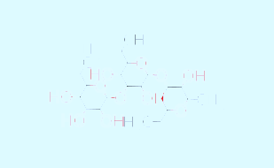 CCC1C[C@H](O[C@@H]2OC(CC)[C@@H](O)[C@H](O[C@@H]3OC(CC)[C@@H](O)[C@H](O)C3O)C2O)C(O)C(C)O1